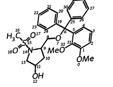 COc1cccc(C(OCC2CC(O)CN2S(C)(=O)=O)(c2ccccc2)c2ccccc2)c1OC